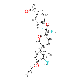 C=CCOc1ccc(C2CCC(C(F)(F)Oc3ccc(C(C)=O)cc3)OC2)c(C)c1F